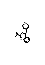 C=C(C)C(=O)OC(OC1CCOCC1)c1ccccc1